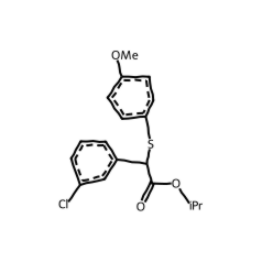 COc1ccc(SC(C(=O)OC(C)C)c2cccc(Cl)c2)cc1